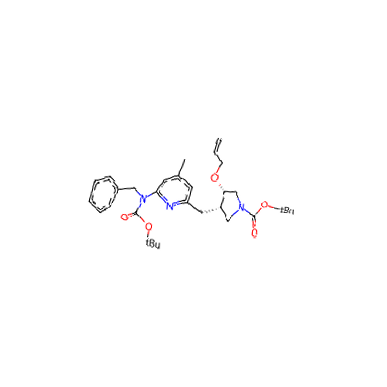 C=CCO[C@@H]1CN(C(=O)OC(C)(C)C)C[C@@H]1Cc1cc(C)cc(N(Cc2ccccc2)C(=O)OC(C)(C)C)n1